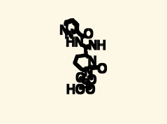 N=C(NC(=O)c1cccnn1)C1CCC2CN1C(=O)N2OS(=O)(=O)O